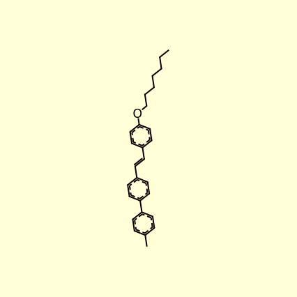 CCCCCCCOc1ccc(C=Cc2ccc(-c3ccc(C)cc3)cc2)cc1